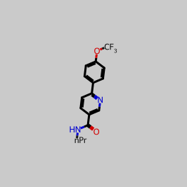 CCCNC(=O)c1ccc(-c2ccc(OC(F)(F)F)cc2)nc1